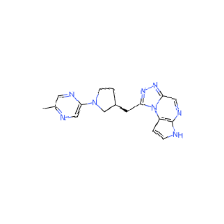 Cc1cnc(N2CC[C@@H](Cc3nnc4cnc5[nH]ccc5n34)C2)cn1